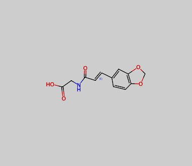 O=C(O)CNC(=O)/C=C/c1ccc2c(c1)OCO2